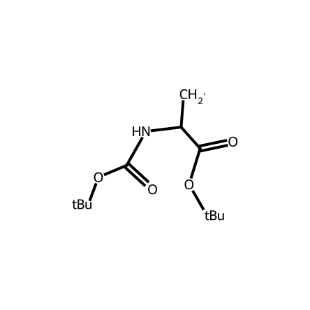 [CH2]C(NC(=O)OC(C)(C)C)C(=O)OC(C)(C)C